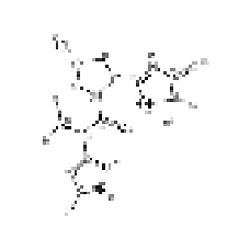 Cc1cc([C@H](C(=O)N2C[C@H](O)C[C@@H]2C2=NC(=O)C(C)(C)N2)C(C)C)on1